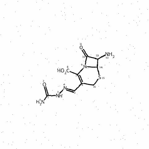 NC(=O)NN=CC1=C(C(=O)O)N2C(=O)C(N)C2SC1